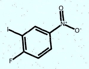 O=[N+]([O-])c1ccc(F)c(I)c1